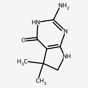 CC1(C)CNc2nc(N)[nH]c(=O)c21